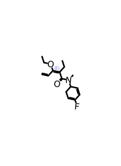 C=C/C(OCC)=C(/CC)C(=O)N(C)C1C=CC(F)=CC1